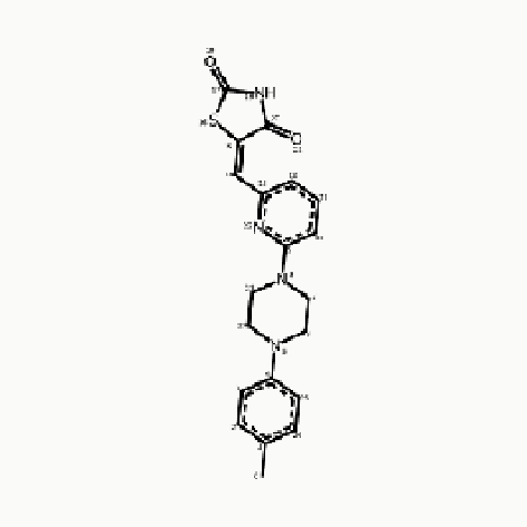 Cc1ccc(N2CCN(c3cccc(C=C4SC(=O)NC4=O)n3)CC2)cc1